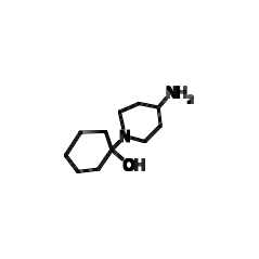 NC1CCN(C2(O)CCCCC2)CC1